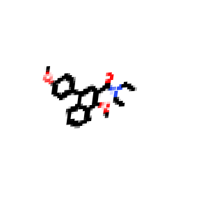 CCN(CC)C(=O)c1cc(-c2ccc(OC)cc2)c2ccccc2c1OC